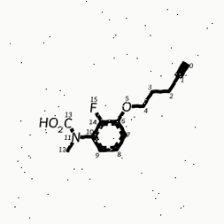 C#CCCCOc1cccc(N(C)C(=O)O)c1F